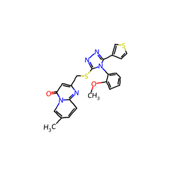 COc1ccccc1-n1c(SCc2cc(=O)n3cc(C)ccc3n2)nnc1-c1ccsc1